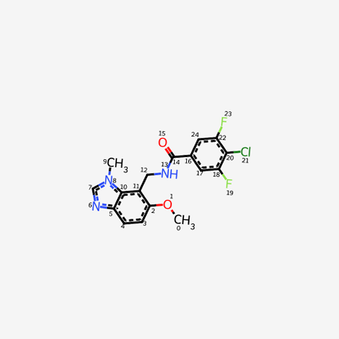 COc1ccc2ncn(C)c2c1CNC(=O)c1cc(F)c(Cl)c(F)c1